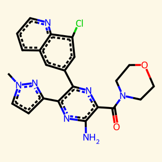 Cn1ccc(-c2nc(N)c(C(=O)N3CCOCC3)nc2-c2cc(Cl)c3ncccc3c2)n1